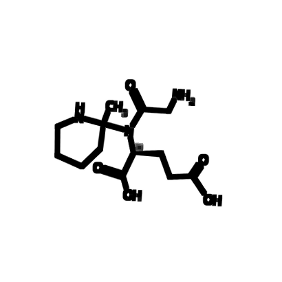 CC1(N(C(=O)CN)[C@@H](CCC(=O)O)C(=O)O)CCCCN1